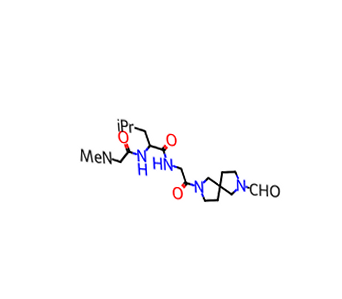 CNCC(=O)NC(CC(C)C)C(=O)NCC(=O)N1CCC2(CCN(C=O)C2)C1